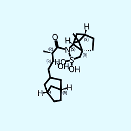 C[C@@H](C(=O)N1[C@H]2C[C@@H]3CC[C@@]2(CS1(O)O)C3(C)C)[C@H](O)CC1C[C@H]2CC[C@@H](C1)C2